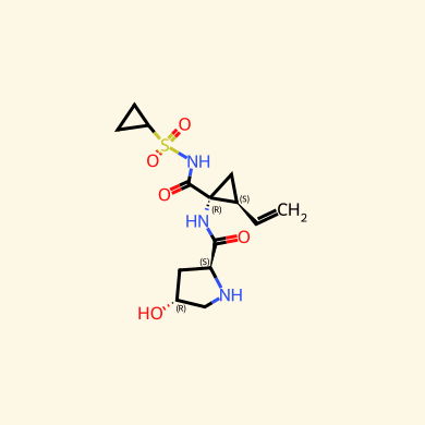 C=C[C@@H]1C[C@]1(NC(=O)[C@@H]1C[C@@H](O)CN1)C(=O)NS(=O)(=O)C1CC1